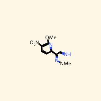 CN/N=C(\C=N)c1ccc([N+](=O)[O-])c(OC)n1